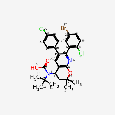 CC1(C)CC(N(C(=O)O)C(C)(C)C)c2cc(-c3ccc(Cl)cc3)c(-c3cc(Br)ccc3Cl)nc2O1